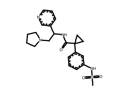 CS(=O)(=O)Nc1cccc(C2(C(=O)NC(CN3CCCC3)c3cccnc3)CC2)c1